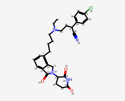 CCN(CCCCc1cccc2c1CN(C1CCC(=O)NC1=O)C2=O)CCC(C#N)c1ccc(Cl)cc1